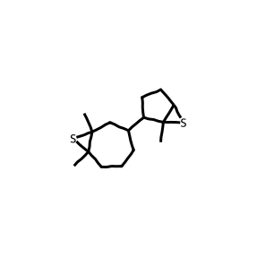 CC12SC1CCC2C1CCCC2(C)SC2(C)C1